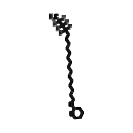 FC(F)(F)C(F)(F)C(F)(F)C(F)(F)CCCCCCCCCCCCCCCOC1CCCCO1